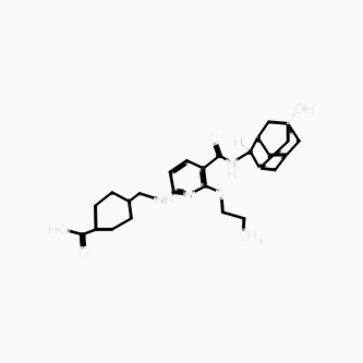 CCCSc1nc(NCC2CCC(C(=O)O)CC2)ccc1C(=O)N[C@H]1C2CC3CC1C[C@](O)(C3)C2